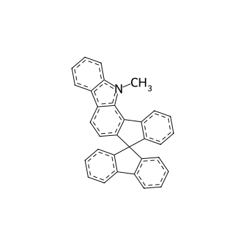 Cn1c2ccccc2c2ccc3c(c21)-c1ccccc1C31c2ccccc2-c2ccccc21